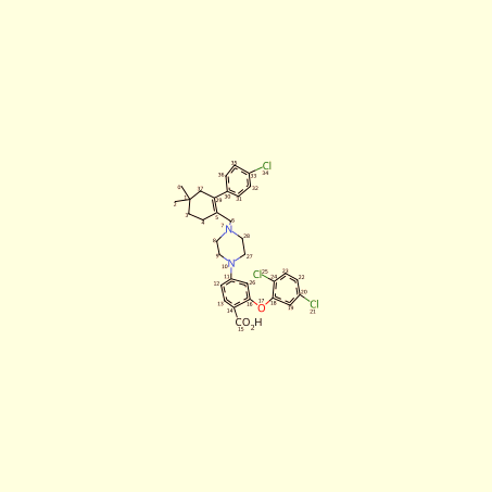 CC1(C)CCC(CN2CCN(c3ccc(C(=O)O)c(Oc4cc(Cl)ccc4Cl)c3)CC2)=C(c2ccc(Cl)cc2)C1